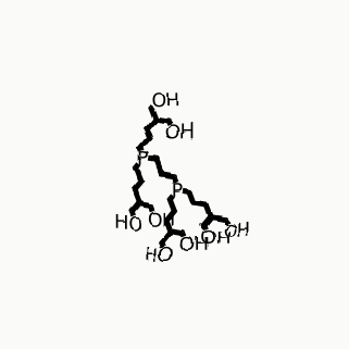 OCC(CO)CCCP(CCCC(CO)CO)CCCP(CCCC(CO)CO)CCCC(CO)CO